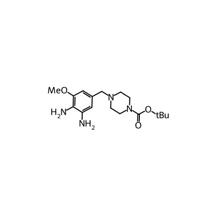 COc1cc(CN2CCN(C(=O)OC(C)(C)C)CC2)cc(N)c1N